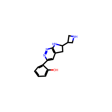 Oc1ccccc1-c1cc2c(nn1)NC(C1CNC1)C2